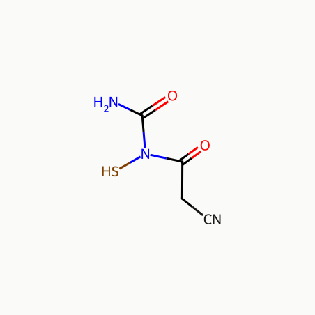 N#CCC(=O)N(S)C(N)=O